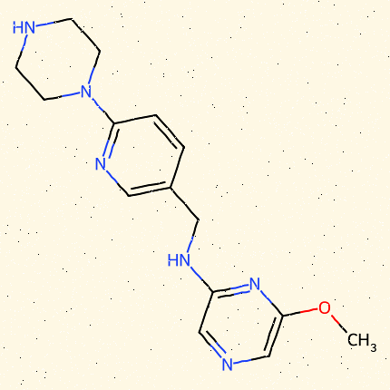 COc1cncc(NCc2ccc(N3CCNCC3)nc2)n1